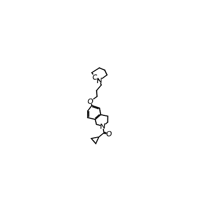 O=C(C1CC1)N1CCc2cc(OCCCN3CCCCC3)ccc2C1